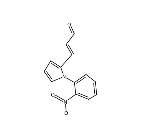 O=C/C=C/c1cccn1-c1ccccc1[N+](=O)[O-]